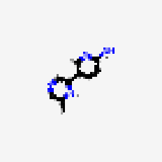 Cc1cncc(-c2ccc(N)nc2)n1